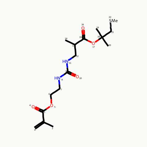 C=C(C)C(=O)OCCNC(=O)NCC(C)C(=O)OC(C)(C)CSC